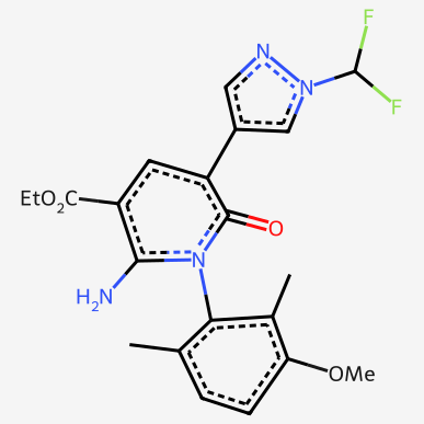 CCOC(=O)c1cc(-c2cnn(C(F)F)c2)c(=O)n(-c2c(C)ccc(OC)c2C)c1N